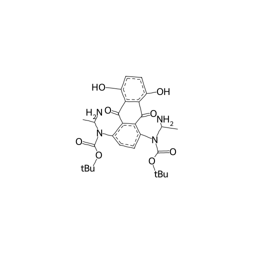 CC(N)N(C(=O)OC(C)(C)C)c1ccc(N(C(=O)OC(C)(C)C)C(C)N)c2c1C(=O)c1c(O)ccc(O)c1C2=O